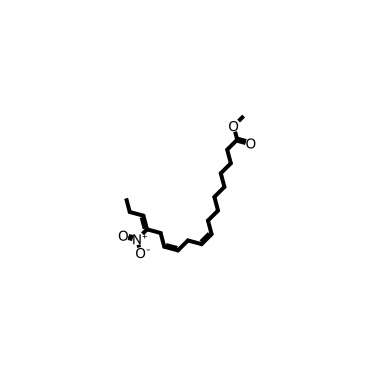 CC/C=C(/C/C=C\C/C=C\CCCCCCCC(=O)OC)[N+](=O)[O-]